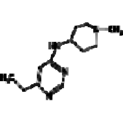 CCc1cc(NC2CCN(C)CC2)ncn1